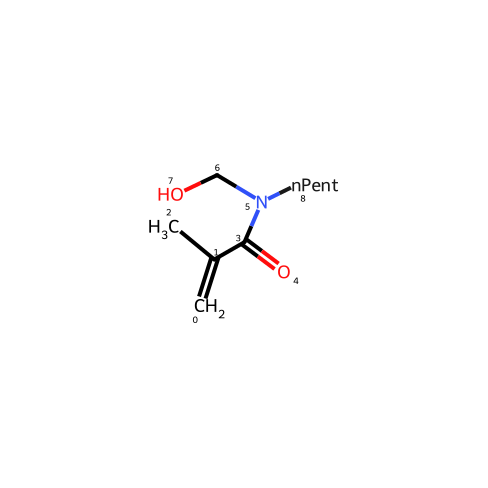 C=C(C)C(=O)N(CO)CCCCC